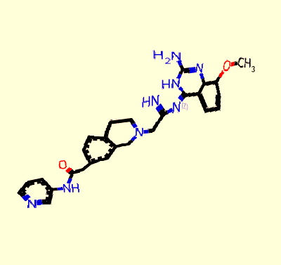 COC1C=CC=C2/C(=N/C(=N)CN3CCc4ccc(CC(=O)Nc5cccnc5)cc4C3)NC(N)=NC21